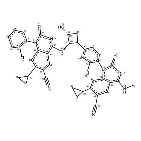 CNc1nc(=O)n(-c2ccc(C3C[C@@H](O)[C@@H]3Nc3nc(=O)n(-c4ccccc4Cl)c4cc(C5CC5)c(C#N)cc34)nc2Cl)c2cc(C3CC3)c(C#N)cc12